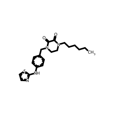 CCCCCCN1CCN(Cc2ccc(Nc3nccs3)cc2)C(=O)C1=O